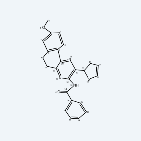 COc1ccc2c(c1)CCc1nc(NC(=O)c3ccccc3)c(C3CC=CS3)nc1-2